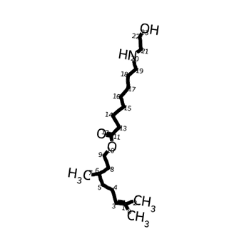 CC(C)=CCCC(C)CCOC(=O)CCCCCCCNCCO